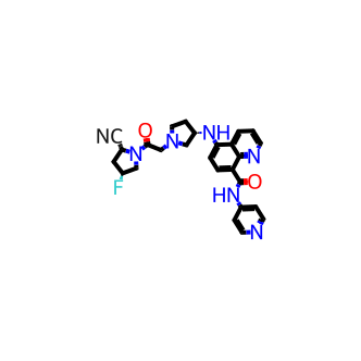 N#CC1C[C@H](F)CN1C(=O)CN1CC[C@H](Nc2ccc(C(=O)Nc3ccncc3)c3ncccc23)C1